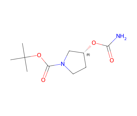 CC(C)(C)OC(=O)N1CC[C@@H](OC(N)=O)C1